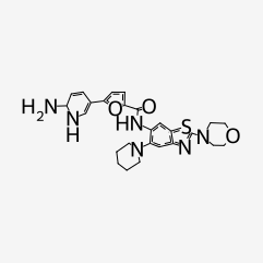 NC1C=CC(c2ccc(C(=O)Nc3cc4sc(N5CCOCC5)nc4cc3N3CCCCC3)o2)=CN1